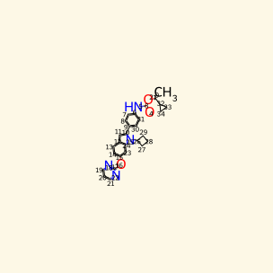 C[C@@H](OC(=O)Nc1ccc(-c2cc3ccc(Oc4ncccn4)cc3n2C2CCC2)cc1)C1CC1